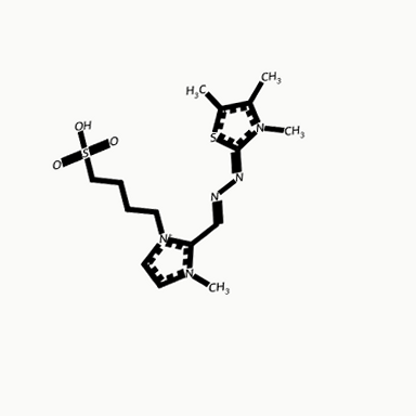 Cc1sc(=NN=Cc2n(C)cc[n+]2CCCCS(=O)(=O)O)n(C)c1C